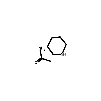 C1CCNCC1.CC(N)=O